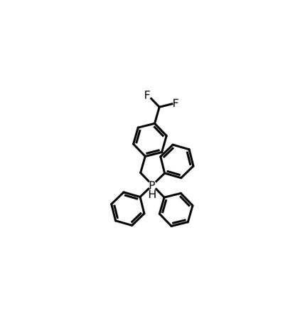 FC(F)c1ccc(C[PH](c2ccccc2)(c2ccccc2)c2ccccc2)cc1